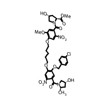 COC(=O)[C@@H]1C[C@@H](O)CN1C(=O)c1cc(OC)c(OCCCCCOc2cc([N+](=O)[O-])c(C(=O)N3C[C@H](O)C[C@H]3C)cc2OCc2ccc(Cl)cc2)cc1[N+](=O)[O-]